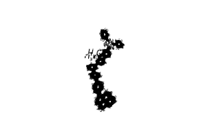 CC1(C)c2cc(-c3cccc(-c4ccc(-c5ccc(-c6ccc7ccc8cccc9ccc6c7c89)cc5)cc4)c3)ccc2-c2ccc(-c3nc(-c4ccccc4)nc(-c4ccccc4)n3)cc21